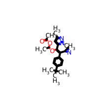 CC(=O)OC(C)O/C(=C(\c1ccc(C(C)(C)C)cc1)C1C=N1)c1cc(C)nn1C